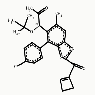 CC(=O)[C@@H](OC(C)(C)C)c1c(C)cc2nc(C(=O)C3=CCC3)sc2c1-c1ccc(Cl)cc1